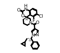 O=C1Nc2ccc(Cl)c(F)c2[C@@]2(CCCN(C(=O)c3cnn([C@@H](CC4CC4)c4ccccc4)c3)C2)O1